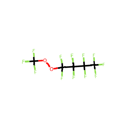 FC(F)(F)OOC(F)(F)C(F)(F)C(F)(F)C(F)(F)F